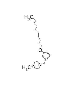 CCCCCCCCCCOc1cccc(CN2CCN(C)CC2)c1